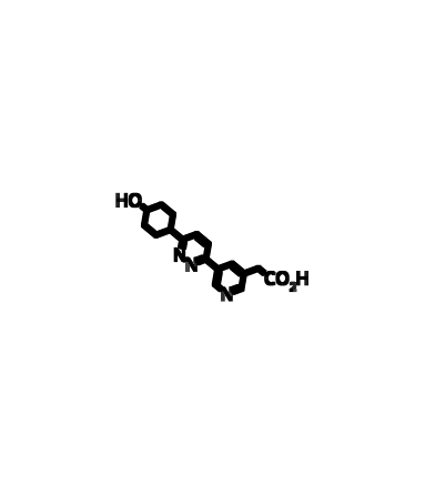 O=C(O)Cc1cncc(-c2ccc(C3CCC(O)CC3)nn2)c1